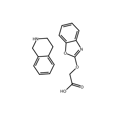 O=C(O)COc1nc2ccccc2o1.c1ccc2c(c1)CCNC2